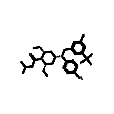 Bc1cnc(N(Cc2cc(Cl)cc(C(F)(F)F)c2)[C@H]2C[C@@H](CC)N(C(=O)OC(C)C)[C@@H](CC)C2)nc1